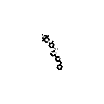 Cc1cc(Nc2nccc(-c3ccc(Cc4ccccc4)nc3)n2)ccc1N1CC2(C)CN(C)CC(C)(C1)C2